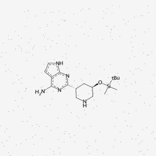 CC(C)(C)[Si](C)(C)O[C@H]1CNC[C@H](c2nc(N)c3cc[nH]c3n2)C1